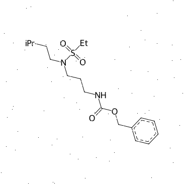 CCS(=O)(=O)N(CCCNC(=O)OCc1ccccc1)CCC(C)C